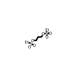 CCS(=O)(=O)OCCCOS(=O)(=O)CC